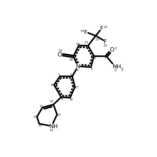 NC(=O)c1cn(-c2ccc(C3=CCCNC3)cc2)c(=O)cc1C(F)(F)F